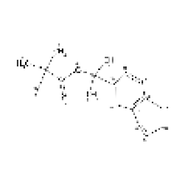 CC(C)C(C)(C)C(=O)OC(C)(C)c1ccc2c(c1)C=CCC2